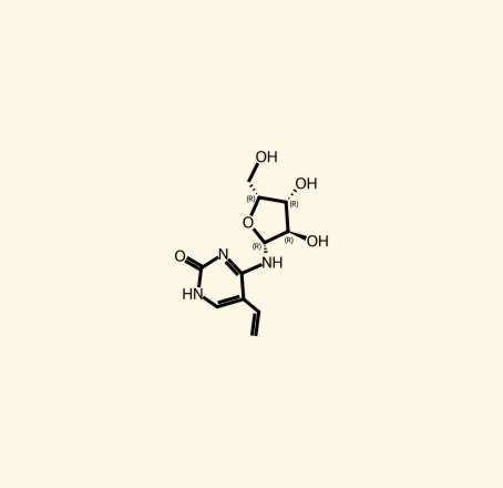 C=Cc1c[nH]c(=O)nc1N[C@@H]1O[C@H](CO)[C@H](O)[C@H]1O